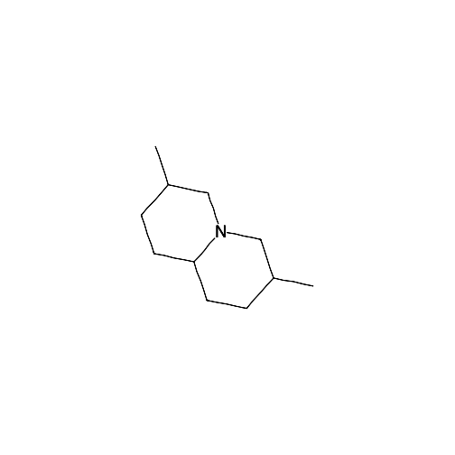 CC1CCC2CCC(C)CN2C1